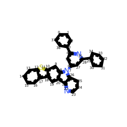 c1ccc(-c2cc(-n3c4cc5sc6ccccc6c5cc4c4ncccc43)cc(-c3ccccc3)n2)cc1